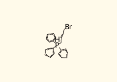 BrCC=CC[PH](c1ccccc1)(c1ccccc1)c1ccccc1